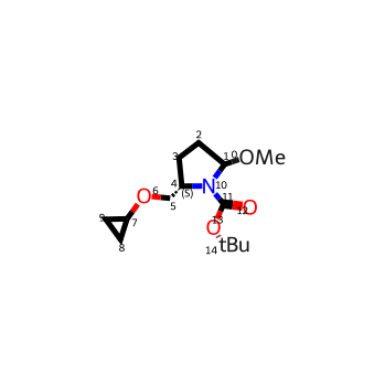 COC1CC[C@@H](COC2CC2)N1C(=O)OC(C)(C)C